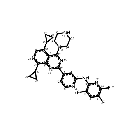 Fc1cc(F)c(Nc2cc(-c3nc(N4CCNCC4)c4c(C5CC5)cnc(C5CC5)c4n3)ccn2)nc1F